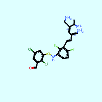 CC(N)/C(=C\C(C=Cc1c(F)ccc(NSc2cc(Cl)cc(C=O)c2Cl)c1F)=C/N)CN